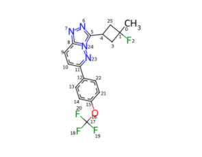 CC1(F)CC(c2nnc3ccc(-c4ccc(OC(F)(F)F)cc4)nn23)C1